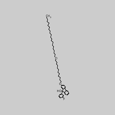 CCCCCCCCCCCCCCCCCCCCCCOCCCCCCCCCCCCOc1ccc2c(c1)C(O)(c1cccc(F)c1)c1ccccc1-2